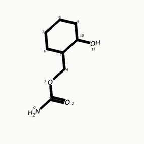 NC(=O)OCC1CCCCC1O